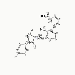 CC1=NN(c2ccc(C)cc2)C(=O)/C1=N\Nc1cccc(-c2cccc(C(=O)O)c2)c1O